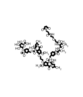 C=C1C[C@H]2[C@H](O)N(C(=O)OCc3ccc(NC(=O)[C@H](C)NC(=O)[C@@H](NC(=O)CCOCCNC(=O)CCN4C(=O)C=CC4=O)C(C)C)cc3)c3cc(OCCCOc4cc5c(cc4OC)C(=O)N4CC(=C)C[C@H]4[C@H](O)N5C(=O)OCc4ccc(O[C@@H]5O[C@H](C(=O)O)C(O)[C@H](O)C5O)c([N+](=O)[O-])c4)c(OC)cc3C(=O)N2C1